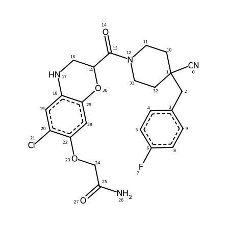 N#CC1(Cc2ccc(F)cc2)CCN(C(=O)C2CNc3cc(Cl)c(OCC(N)=O)cc3O2)CC1